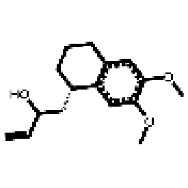 C=CC(O)C[C@@H]1CCCc2cc(OC)c(OC)cc21